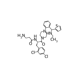 CCNC(c1cccs1)c1ccccc1N1CCN(C(=O)[C@@H](Cc2ccc(Cl)cc2Cl)NC(=O)CCN)CC1